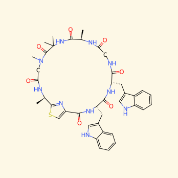 C[C@H]1NC(=O)CNC(=O)[C@H](Cc2c[nH]c3ccccc23)NC(=O)[C@H](Cc2c[nH]c3ccccc23)NC(=O)c2csc(n2)[C@@H](C)NC(=O)CN(C)C(=O)C(C)(C)NC1=O